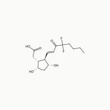 CCCCC(F)(F)C(=O)C=C[C@@H]1[C@@H](CC(=O)O)[C@@H](O)C[C@H]1O